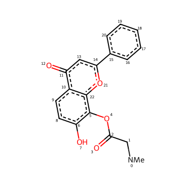 CNCC(=O)Oc1c(O)ccc2c(=O)cc(-c3ccccc3)oc12